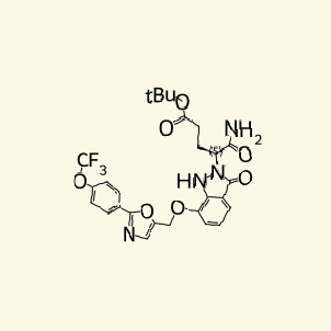 CC(C)(C)OC(=O)CC[C@@H](C(N)=O)n1[nH]c2c(OCc3cnc(-c4ccc(OC(F)(F)F)cc4)o3)cccc2c1=O